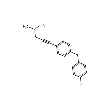 CN(C)CC#Cc1ccc(Cc2ccc(F)cc2)cc1